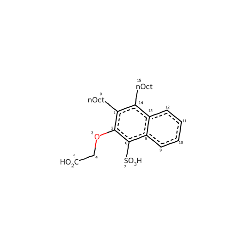 CCCCCCCCc1c(OCC(=O)O)c(S(=O)(=O)O)c2ccccc2c1CCCCCCCC